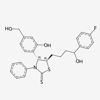 OCc1ccc([C@@H]2[C@@H](CCCC(O)c3ccc(F)cc3)SC(=S)N2c2ccccc2)c(O)c1